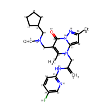 C=C(Cn1c(C)c(CN(C=O)CC2CCCC2)c(=O)n2nc(CC)cc12)Nc1ccc(F)cn1